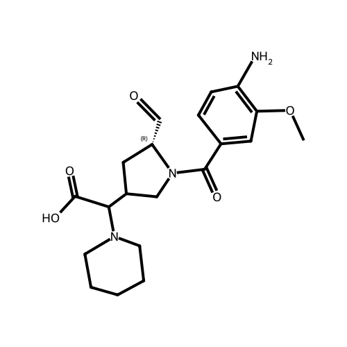 COc1cc(C(=O)N2CC(C(C(=O)O)N3CCCCC3)C[C@@H]2C=O)ccc1N